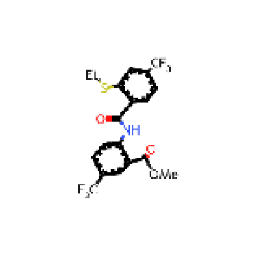 CCSc1cc(C(F)(F)F)ccc1C(=O)Nc1ccc(C(F)(F)F)cc1C(=O)OC